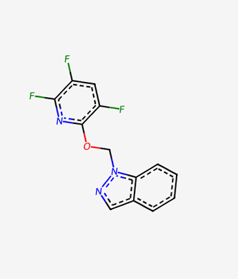 Fc1cc(F)c(OCn2ncc3ccccc32)nc1F